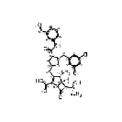 C[C@@H](O)[C@H]1C(=O)N2C(C(=O)O)=C(S[C@H]3C[C@@H](C(=O)Nc4cccc(C=O)c4)N(Cc4cc(Cl)cc(Cl)c4)C3)[C@H](C)[C@H]12